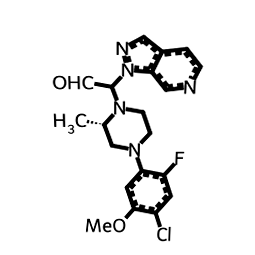 COc1cc(N2CCN(C(C=O)n3ncc4ccncc43)[C@@H](C)C2)c(F)cc1Cl